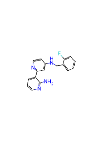 Nc1ncccc1-c1cc(NCc2ccccc2F)ccn1